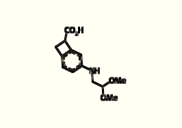 COC(CNc1ccc2c(c1)C(C(=O)O)C2)OC